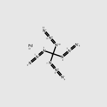 [N-]=[N+]=NC(N=[N+]=[N-])(N=[N+]=[N-])N=[N+]=[N-].[Pd]